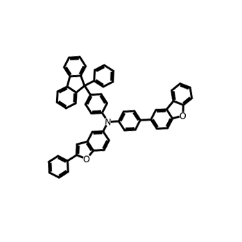 c1ccc(-c2cc3cc(N(c4ccc(-c5ccc6oc7ccccc7c6c5)cc4)c4ccc(C5(c6ccccc6)c6ccccc6-c6ccccc65)cc4)ccc3o2)cc1